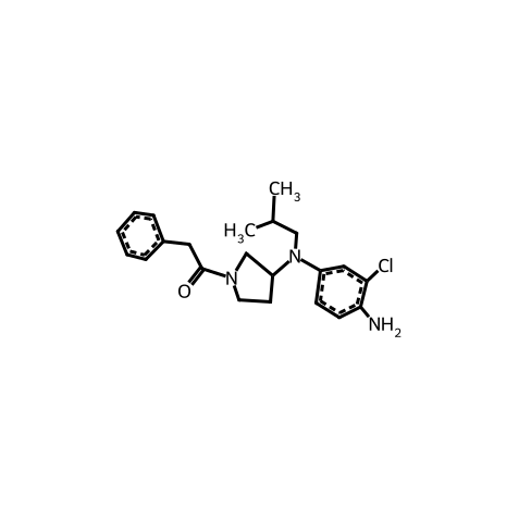 CC(C)CN(c1ccc(N)c(Cl)c1)C1CCN(C(=O)Cc2ccccc2)C1